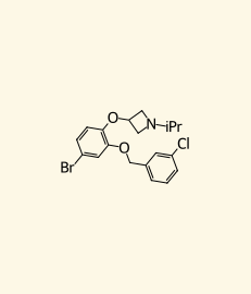 CC(C)N1CC(Oc2ccc(Br)cc2OCc2cccc(Cl)c2)C1